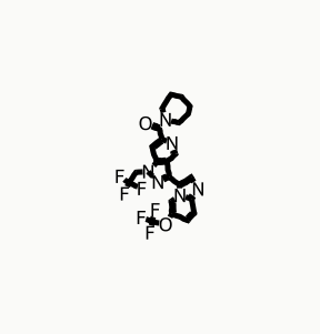 O=C(c1cc2c(cn1)c(-c1cnc3ccc(OC(F)(F)F)cn13)nn2CC(F)(F)F)N1CCCCCC1